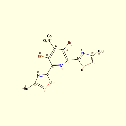 CC(C)(C)c1coc(-c2nc(-c3nc(C(C)(C)C)co3)c(Br)c([N+](=O)[O-])c2Br)n1.[Co]